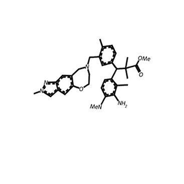 CNc1ccc(C(c2ccc(C)c(CN3CCOc4cc5cn(C)nc5cc4C3)c2)C(C)(C)C(=O)OC)c(C)c1N